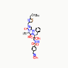 COCc1nc(CN2CCN([C@@H](C(=O)N[C@@H](Cc3ccccc3)C(O)(O)CNS(=O)(=O)c3ccc(/C=N/O)cc3)C(C)C)C2=O)cs1